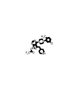 Cc1ccc(Cl)cc1N1CCN(c2ncnc3c2c(CC2CCNCC2)nn3OC(=O)C(F)(F)F)CC1